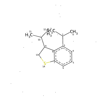 CC(C)c1cccc2c1C(C(C)C)CS2